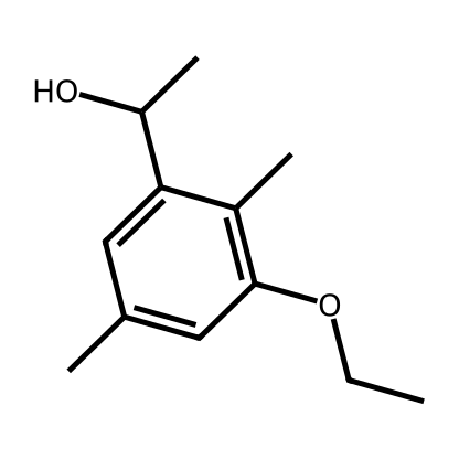 CCOc1cc(C)cc(C(C)O)c1C